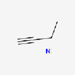 C#CCC.[N]